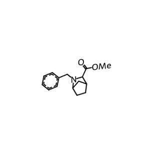 COC(=O)C1C2CCC(C2)N1Cc1ccccc1